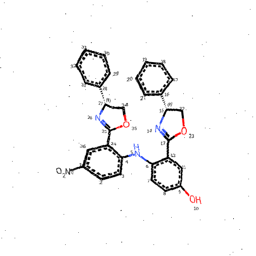 O=[N+]([O-])c1ccc(Nc2ccc(O)cc2C2=N[C@H](c3ccccc3)CO2)c(C2=N[C@H](c3ccccc3)CO2)c1